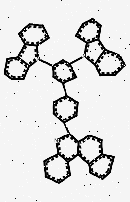 c1ccc2c(c1)ccc1c(-c3ccc(-c4cc(-n5c6ccccc6c6ccccc65)cc(-n5c6ccccc6c6ccccc65)c4)cc3)nc3ccccc3c12